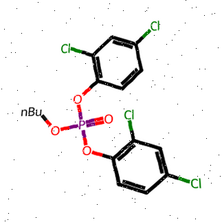 CCCCOP(=O)(Oc1ccc(Cl)cc1Cl)Oc1ccc(Cl)cc1Cl